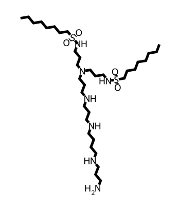 CCCCCCCCS(=O)(=O)NCCCN(CCCNCCCNCCCCNCCCN)CCCNS(=O)(=O)CCCCCCCC